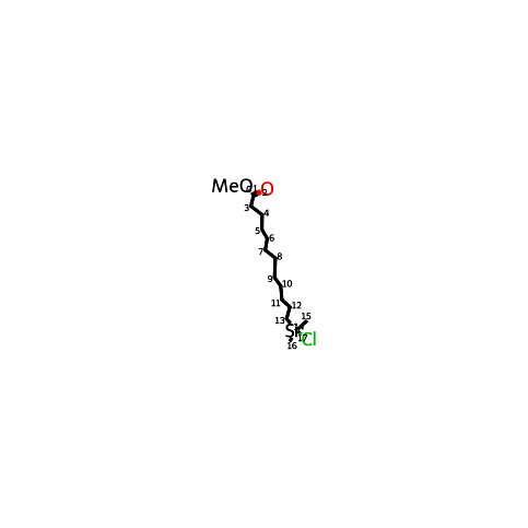 COC(=O)CCCCCCCCCCC[Si](C)(C)Cl